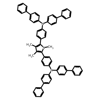 Cc1c(C)c(-c2ccc(N(c3ccc(-c4ccccc4)cc3)c3ccc(-c4ccccc4)cc3)cc2)n(C)c1-c1ccc(N(c2ccc(-c3ccccc3)cc2)c2ccc(-c3ccccc3)cc2)cc1